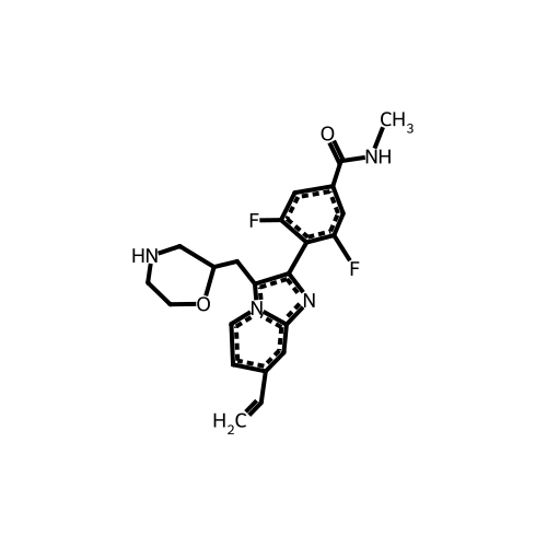 C=Cc1ccn2c(CC3CNCCO3)c(-c3c(F)cc(C(=O)NC)cc3F)nc2c1